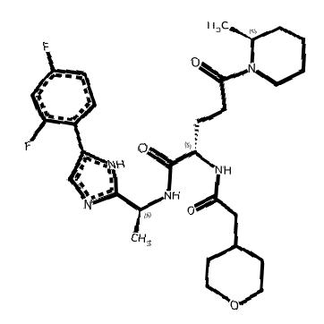 C[C@H](NC(=O)[C@H](CCC(=O)N1CCCC[C@@H]1C)NC(=O)CC1CCOCC1)c1ncc(-c2ccc(F)cc2F)[nH]1